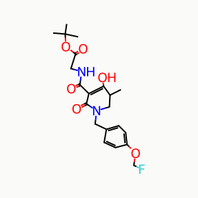 CC1CN(Cc2ccc(OCF)cc2)C(=O)C(C(=O)NCC(=O)OC(C)(C)C)=C1O